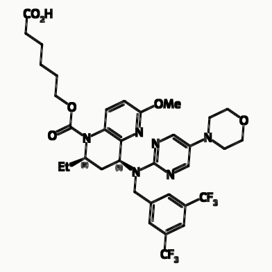 CC[C@@H]1C[C@H](N(Cc2cc(C(F)(F)F)cc(C(F)(F)F)c2)c2ncc(N3CCOCC3)cn2)c2nc(OC)ccc2N1C(=O)OCCCCCC(=O)O